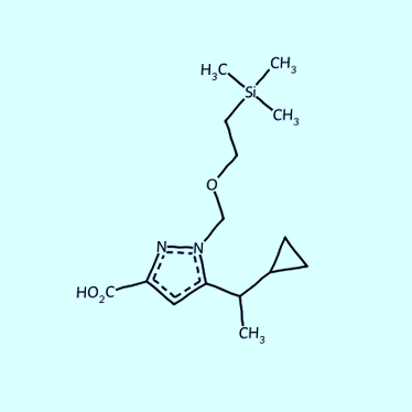 CC(c1cc(C(=O)O)nn1COCC[Si](C)(C)C)C1CC1